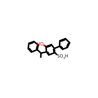 CC(c1ccccc1)c1cc(S(=O)(=O)O)c(-c2ccccc2)cc1O